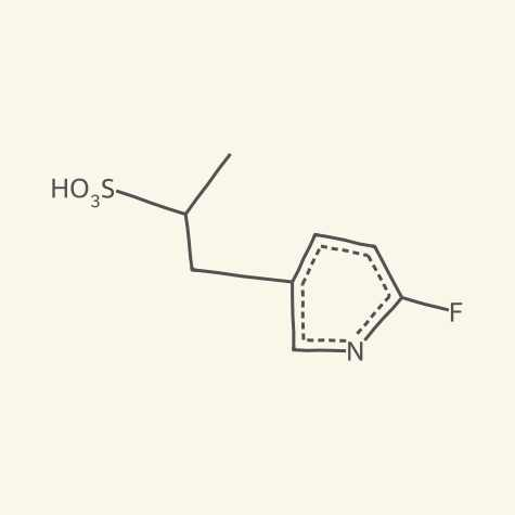 CC(Cc1ccc(F)nc1)S(=O)(=O)O